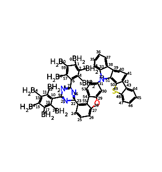 Bc1c(B)c(B)c(-c2nc(-c3c(B)c(B)c(B)c(B)c3B)nc(-c3cccc4oc5cc(-n6c7ccccc7c7ccc8c9ccccc9sc8c76)ccc5c34)n2)c(B)c1B